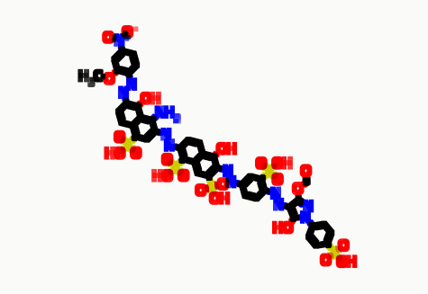 COc1cc([N+](=O)[O-])ccc1N=Nc1ccc2c(S(=O)(=O)O)cc(N=Nc3ccc4c(O)c(N=Nc5ccc(N=Nc6c(OC=O)nn(-c7ccc(S(=O)(=O)O)cc7)c6O)c(S(=O)(=O)O)c5)c(S(=O)(=O)O)cc4c3S(=O)(=O)O)c(N)c2c1O